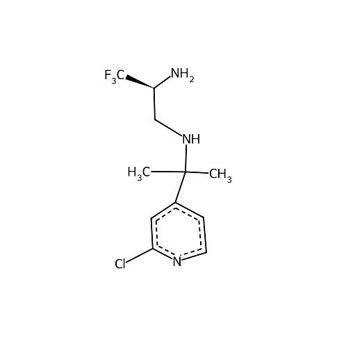 CC(C)(NC[C@H](N)C(F)(F)F)c1ccnc(Cl)c1